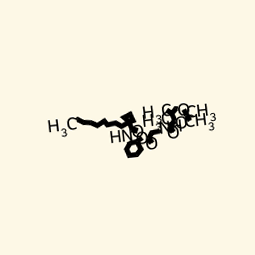 CCCCCCCCCC1(C(=O)NC2CCCCC2OC(=O)CCNC(=O)C2OC(C)(C)OCC2(C)C)CCC1